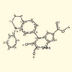 COC(=O)c1cc2c([nH]c(=O)c(=O)n2-c2ccc3c(c2)N(c2ccccc2)CCC3)s1